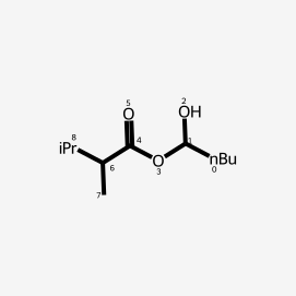 CCCCC(O)OC(=O)C(C)C(C)C